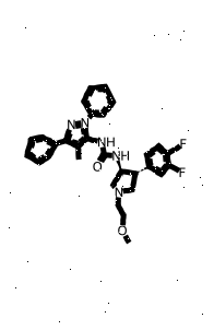 COCCN1C[C@@H](NC(=O)Nc2c(C)c(-c3ccccc3)nn2-c2ccccc2)[C@H](c2ccc(F)c(F)c2)C1